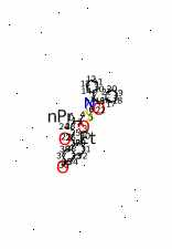 CCCC(C(=O)CSc1nc(-c2ccccc2)c(-c2ccccc2)o1)C(C)CC(=O)C1C(CC)CCC2=CC(=O)CCC21